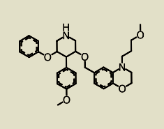 COCCCN1CCOc2ccc(COC3CNCC(Oc4ccccc4)C3c3ccc(OC)cc3)cc21